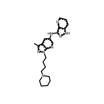 Cc1nn(CCCCN2CCCCC2)c2ncc(Nc3n[nH]c4cccnc34)cc12